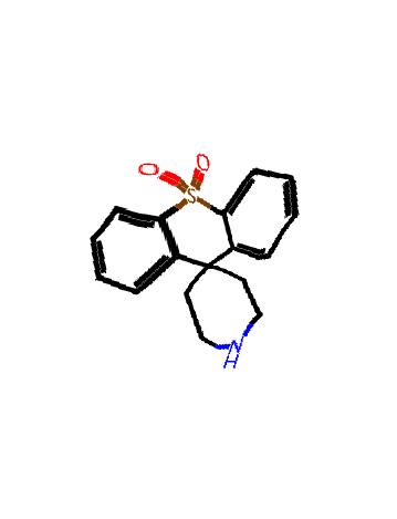 O=S1(=O)c2ccccc2C2(CCNCC2)c2ccccc21